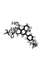 CC(C)(C)OC(=O)NCc1cc(-c2ccc(OC(F)(F)F)cc2)c2ncccc2c1[C@H](O)CO